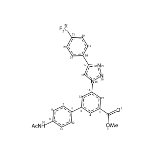 COC(=O)c1cc(-c2ccc(NC(C)=O)cc2)cc(-n2cc(-c3ccc(C(F)(F)F)cc3)nn2)c1